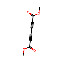 COC(=O)C#CC#CC(=O)OC